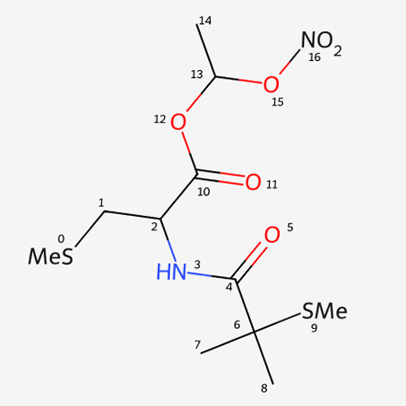 CSCC(NC(=O)C(C)(C)SC)C(=O)OC(C)O[N+](=O)[O-]